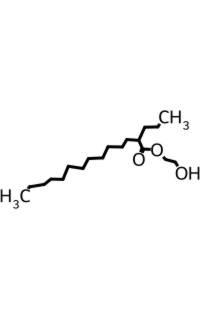 CCCCCCCCCCCCC(CCC)C(=O)OCCO